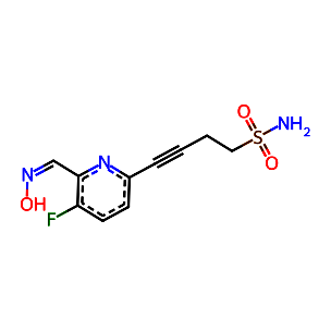 NS(=O)(=O)CCC#Cc1ccc(F)c(/C=N\O)n1